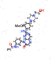 C=CC(=O)Nc1cccc(-n2c(=O)cnc3cnc(Nc4ccc(N5CCN(CCO)CC5)cc4OC)nc32)c1